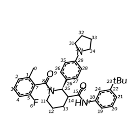 Cc1cccc(F)c1C(=O)N1CCCC(C(=O)Nc2cccc(C(C)(C)C)c2)[C@@H]1c1ccc(N2CCCC2)cc1